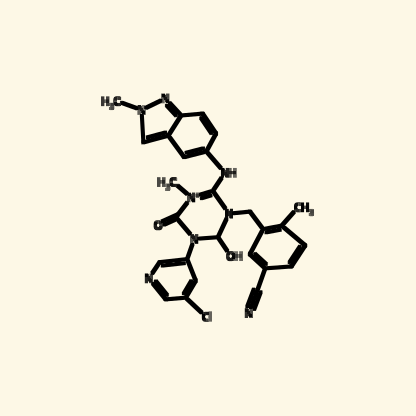 Cc1ccc(C#N)cc1CN1C(Nc2ccc3nn(C)cc3c2)=[N+](C)C(=O)N(c2cncc(Cl)c2)C1O